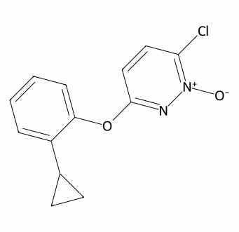 [O-][n+]1nc(Oc2ccccc2C2CC2)ccc1Cl